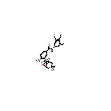 Nc1ccc(C(=O)Nc2cc(F)c(F)c(F)c2)cc1S(=O)(=O)[C@H]1C2CCC1C[C@]1(CO1)C2